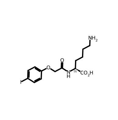 NCCCC[C@H](NC(=O)COc1ccc(I)cc1)C(=O)O